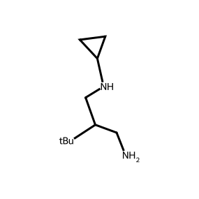 CC(C)(C)C(CN)CNC1CC1